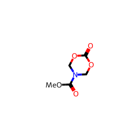 COC(=O)N1COC(=O)OC1